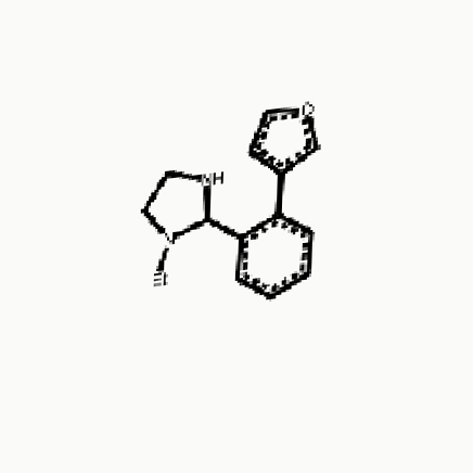 CCN1CCNC1c1ccccc1-c1ccoc1